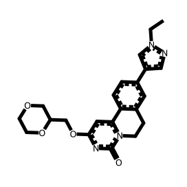 CCn1cc(-c2ccc3c(c2)CCn2c-3cc(OCC3COCCO3)nc2=O)cn1